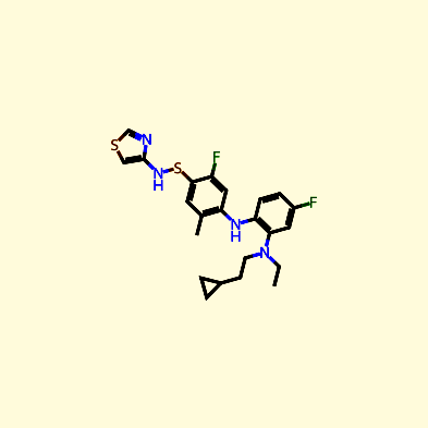 CCN(CCC1CC1)c1cc(F)ccc1Nc1cc(F)c(SNc2cscn2)cc1C